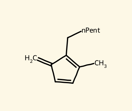 C=C1C=CC(C)=C1CCCCCC